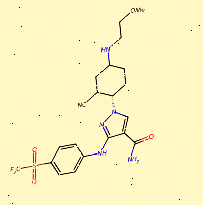 COCCNC1CC[C@H](n2cc(C(N)=O)c(Nc3ccc(S(=O)(=O)C(F)(F)F)cc3)n2)C(C#N)C1